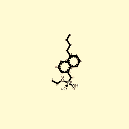 CCCCc1cccc2c(CP(=O)(O)OCC)cccc12